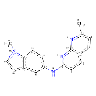 Cc1ccc2ccc(Nc3ccc4c(ccn4C)c3)nc2n1